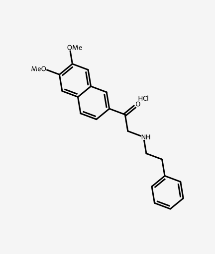 COc1cc2ccc(C(=O)CNCCc3ccccc3)cc2cc1OC.Cl